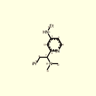 CCNc1ccnc(C(CC(C)C)N(C)C)c1